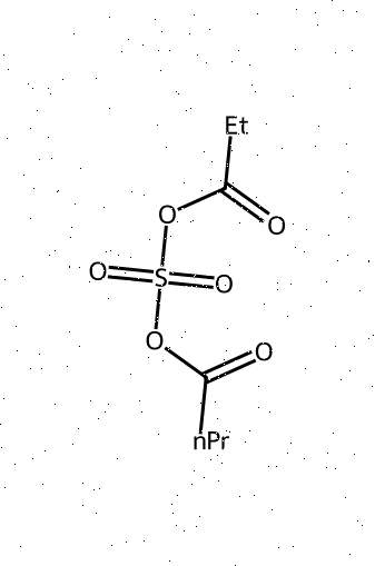 CCCC(=O)OS(=O)(=O)OC(=O)CC